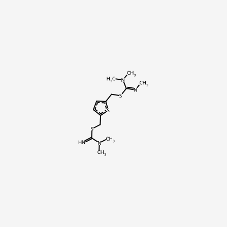 C/N=C(/SCc1ccc(CSC(=N)N(C)C)s1)N(C)C